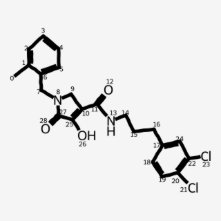 Cc1ccccc1CN1CC(C(=O)NCCCc2ccc(Cl)c(Cl)c2)=C(O)C1=O